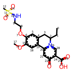 CCC1Cc2cc(OCCNS(C)(=O)=O)c(OC)cc2-c2cc(=O)c(C(=O)O)cn21